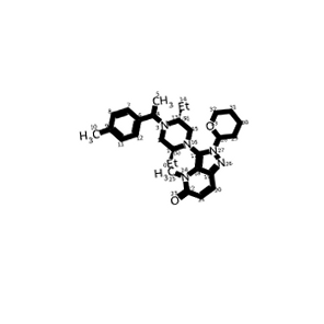 CC[C@H]1CN(C(C)c2ccc(C)cc2)[C@H](CC)CN1c1c2c(ccc(=O)n2C)nn1C1CCCCO1